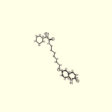 CCN(C(=O)CCCCCCCCOc1ccc2[nH]c(=O)ccc2c1)C1CCCCC1